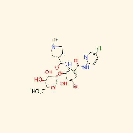 CC(C)N1CCC(C(=O)Nc2c(O[C@@H]3[C@@H](O)[C@H](O)[C@@H](C(=O)O)O[C@H]3O)cc(Br)cc2C(=O)Nc2ccc(Cl)cn2)CC1